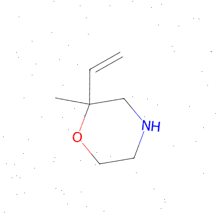 C=CC1(C)CNCCO1